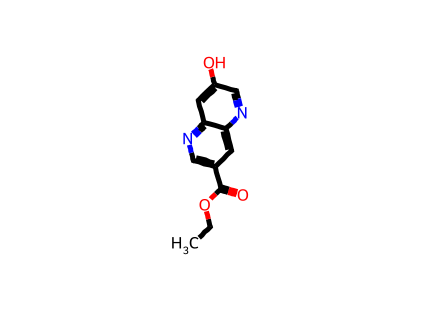 CCOC(=O)c1cnc2cc(O)cnc2c1